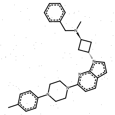 Cc1ccc(N2CCN(c3ccc4ccn([C@H]5C[C@H](N(C)Cc6ccccc6)C5)c4n3)CC2)cc1